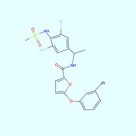 CC(C)c1cccc(Oc2ccc(C(=O)NC(C)c3cc(F)c(NS(C)(=O)=O)c(F)c3)o2)c1